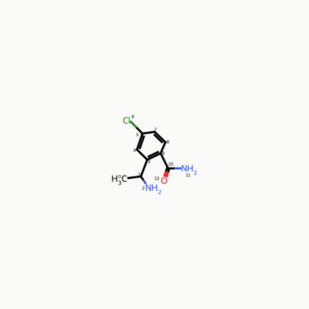 CC(N)c1cc(Cl)ccc1C(N)=O